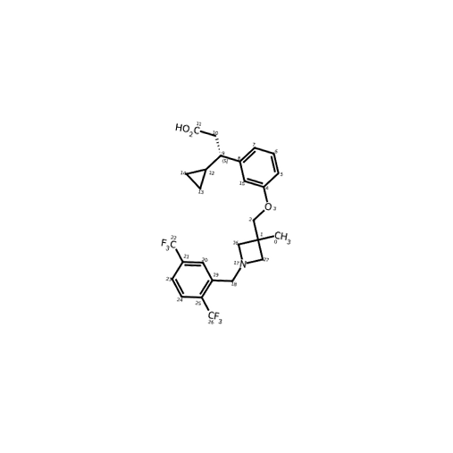 CC1(COc2cccc([C@@H](CC(=O)O)C3CC3)c2)CN(Cc2cc(C(F)(F)F)ccc2C(F)(F)F)C1